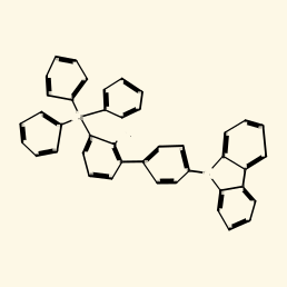 N#Cc1c(-c2ccc(-n3c4ccccc4c4ccccc43)cc2)cccc1[Si](c1ccccc1)(c1ccccc1)c1ccccc1